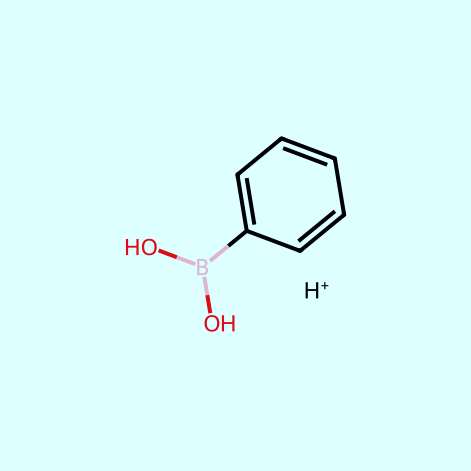 OB(O)c1ccccc1.[H+]